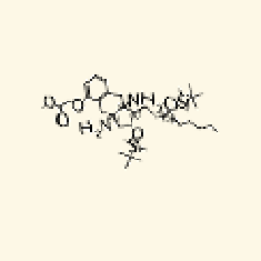 CCCCC[C@@H](CC[C@H]1C(O[Si](C)(C)C(C)(C)C)C[C@]2(N)Cc3c(cccc3OCC(=O)OC)C[C@]12N)O[Si](C)(C)C(C)(C)C